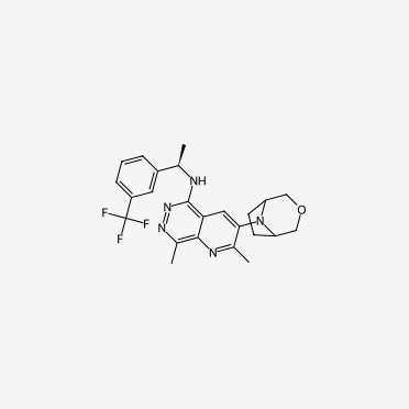 Cc1nc2c(C)nnc(N[C@H](C)c3cccc(C(F)(F)F)c3)c2cc1N1C2CCC1COC2